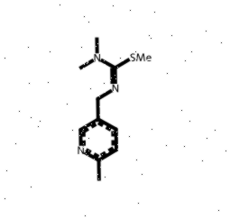 CSC(=NCc1ccc(C)nc1)N(C)C